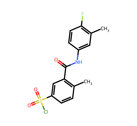 Cc1cc(NC(=O)c2cc(S(=O)(=O)Cl)ccc2C)ccc1F